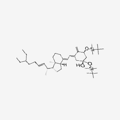 C=C1/C(=C/C=C2CCC[C@]3(C)[C@@H]([C@H](C)C=CCCC(CC)CC)CC[C@@H]23)C[C@@](O)(O[Si](C)(C)C(C)(C)C)C[C@@H]1O[Si](C)(C)C(C)(C)C